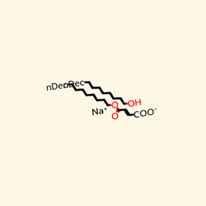 CCCCCCCCCCCCCCCCCCO.CCCCCCCCCCCCCCCCCCOC(=O)C=CC(=O)[O-].[Na+]